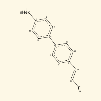 CCCCCCc1ccc(-c2ccc(C=CF)cc2)cc1